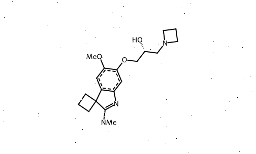 CNC1=Nc2cc(OC[C@H](O)CN3CCC3)c(OC)cc2C12CCC2